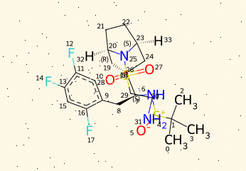 CC(C)(C)[S+]([O-])N[C@@H](Cc1cc(F)c(F)cc1F)[C@@H]1C[C@H]2CC[C@@H](C1)N2S(=O)(=O)CCN